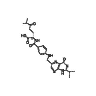 CC(C)C(=O)CC[C@H](NC(=O)c1ccc(NCc2cnc3[nH]c(C(C)C)nc(=O)c3n2)cc1)C(=O)O